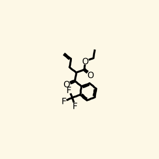 C=CCC(C(=O)OCC)C(=O)c1ccccc1C(F)(F)F